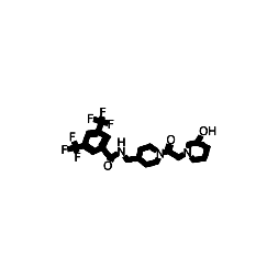 O=C(NCC1CCN(C(=O)CN2CCCC(O)C2)CC1)c1cc(C(F)(F)F)cc(C(F)(F)F)c1